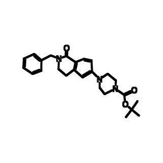 CC(C)(C)OC(=O)N1CCN(c2ccc3c(c2)CCN(Cc2ccccc2)C3=O)CC1